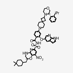 CC(C)c1ccccc1[C@H]1COCCN1C1CC2(CCN(c3ccc(C(=O)NS(=O)(=O)c4cc([N+](=O)[O-])c5c(n4)NC[C@H](CC4CCC(C)(C)CC4)O5)c(Oc4cnc5[nH]ccc5c4)c3)CC2)C1